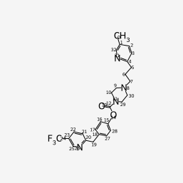 Cc1ccc(CCCN2CCN(C(=O)Oc3ccc(Cc4ccc(C(F)(F)F)cn4)cc3)CC2)nc1